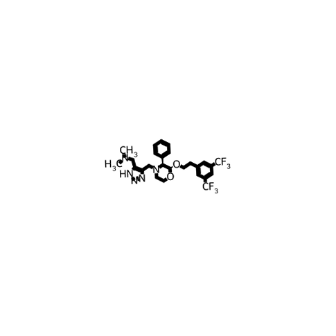 CN(C)Cc1[nH]nnc1CN1CCO[C@@H](OCCc2cc(C(F)(F)F)cc(C(F)(F)F)c2)[C@@H]1c1ccccc1